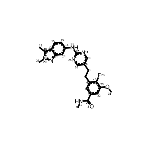 CNC(=O)c1cc(CCc2cnc(Nc3ccc4c(C)n(C)nc4c3)nc2)c(F)c(OC)c1